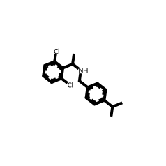 CC(C)c1ccc(CNC(C)c2c(Cl)cccc2Cl)cc1